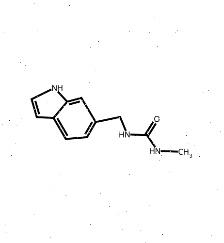 CNC(=O)NCc1ccc2cc[nH]c2c1